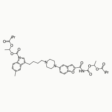 Cc1ccc2c(c1)c(CCCCN1CCN(c3ccc4oc(C(=O)NC(=O)OC(C)OC(=O)C(C)C)cc4c3)CC1)cn2C(=O)OC(C)OC(=O)C(C)C